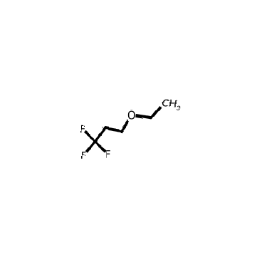 CCOC[CH]C(F)(F)F